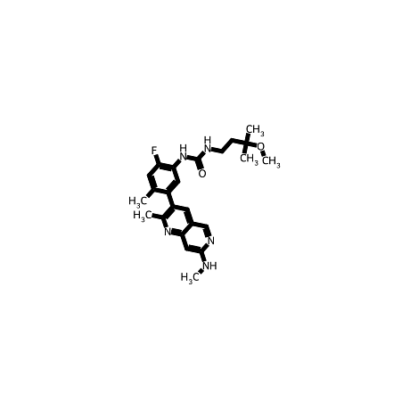 CNc1cc2nc(C)c(-c3cc(NC(=O)NCCC(C)(C)OC)c(F)cc3C)cc2cn1